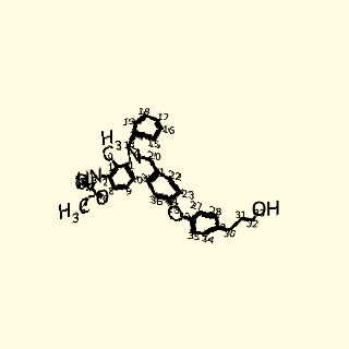 Cc1c(NS(C)(=O)=O)cccc1N(Cc1ccccc1)Cc1ccc(Oc2ccc(CCCO)cc2)cc1